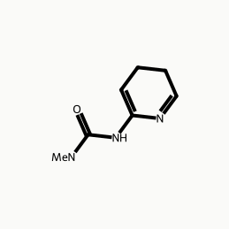 CNC(=O)NC1=CCCC=N1